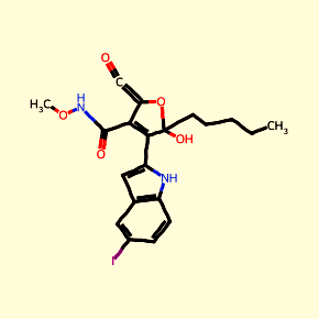 CCCCCC1(O)OC(=C=O)C(C(=O)NOC)=C1c1cc2cc(I)ccc2[nH]1